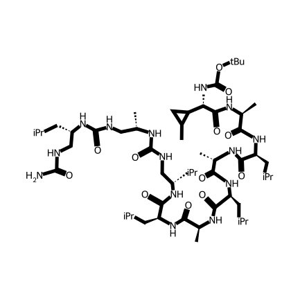 CC(C)C[C@@H](CNC(N)=O)NC(=O)NC[C@H](C)NC(=O)NC[C@@H](NC(=O)[C@H](CC(C)C)NC(=O)[C@H](C)NC(=O)[C@H](CC(C)C)NC(=O)[C@H](C)NC(=O)[C@H](CC(C)C)NC(=O)[C@H](C)NC(=O)[C@@H](NC(=O)OC(C)(C)C)C1CC1C)C(C)C